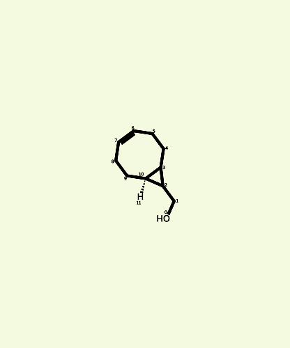 OCC1C2CCC=CCC[C@H]12